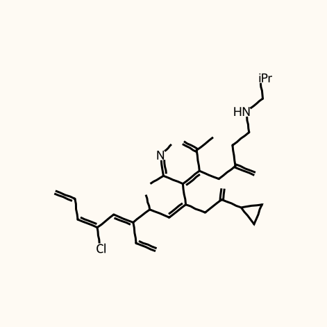 C=C/C=C(Cl)\C=C(/C=C)C(C)\C=C(CC(=C)C1CC1)/C(C(/C)=N\C)=C(\CC(=C)CCNCC(C)C)C(=C)C